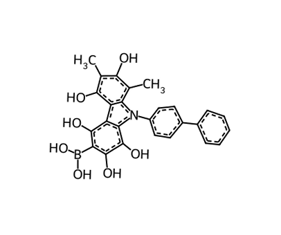 Cc1c(O)c(C)c2c(c1O)c1c(O)c(B(O)O)c(O)c(O)c1n2-c1ccc(-c2ccccc2)cc1